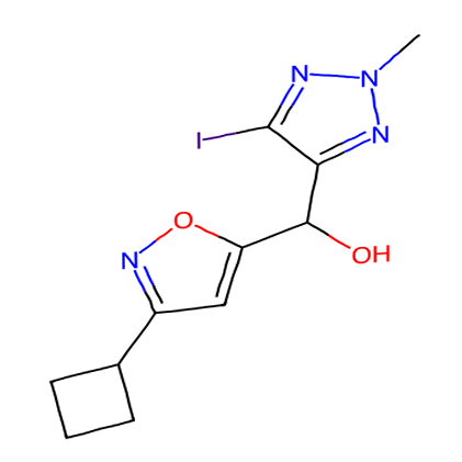 Cn1nc(I)c(C(O)c2cc(C3CCC3)no2)n1